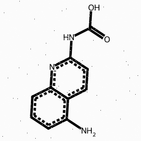 Nc1cccc2nc(NC(=O)O)ccc12